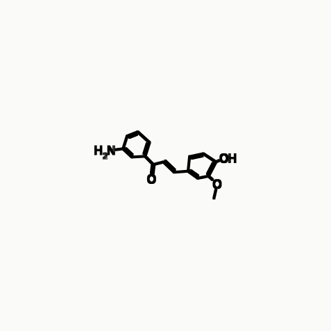 COc1cc(/C=C/C(=O)c2cccc(N)c2)ccc1O